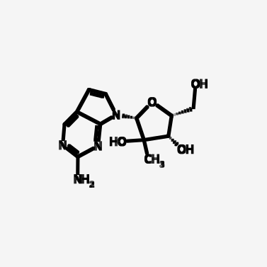 CC1(O)[C@@H](O)[C@@H](CO)O[C@H]1n1ccc2cnc(N)nc21